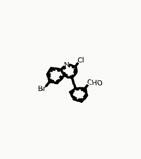 O=Cc1ccccc1-c1cc(Cl)nc2ccc(Br)cc12